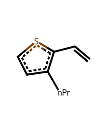 C=Cc1sccc1CCC